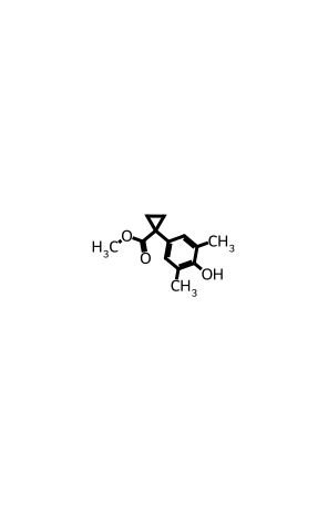 COC(=O)C1(c2cc(C)c(O)c(C)c2)CC1